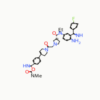 CCN(C(=O)[C@@H]1CCN(CC(=O)N2CC=C(c3ccc(C(=N)OC(=O)NC)cc3)CC2)C1)c1ccc(N)c(C(=N)c2ccc(F)cc2)c1